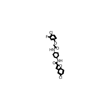 O=C(COc1ccc(Cl)c(F)c1)N[C@H]1CC[C@H](NC(=O)c2cc3cc(Cl)ccc3o2)CC1